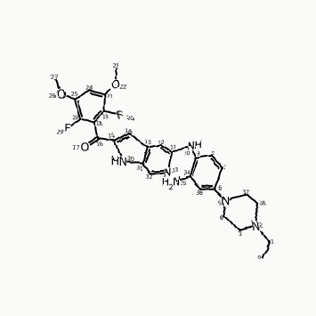 CCN1CCN(c2ccc(Nc3cc4cc(C(=O)c5c(F)c(OC)cc(OC)c5F)[nH]c4cn3)c(N)c2)CC1